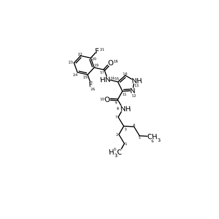 CCCC(CCC)CNC(=O)c1n[nH]cc1NC(=O)c1c(F)cccc1F